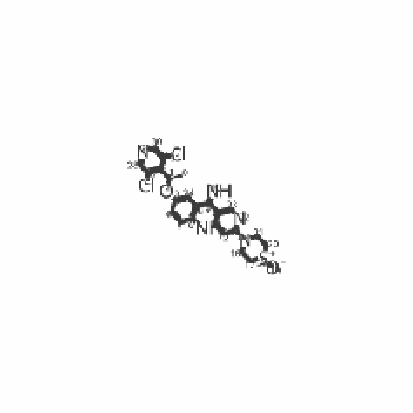 C[C@@H](Oc1ccc(N)c(C(=N)c2ccc(N3CC[S+]([O-])CC3)nc2)c1)c1c(Cl)cncc1Cl